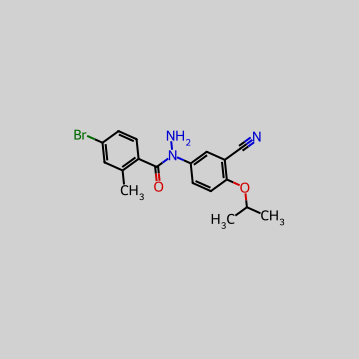 Cc1cc(Br)ccc1C(=O)N(N)c1ccc(OC(C)C)c(C#N)c1